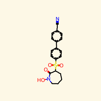 N#Cc1ccc(-c2ccc(S(=O)(=O)C3CCCCN(O)C3=O)cc2)cc1